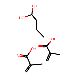 C=C(C)C(=O)O.C=C(C)C(=O)O.CCCC(O)O